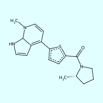 C[C@H]1CCCN1C(=O)c1ccc(C2=C3C=CNC3N(C)C=C2)s1